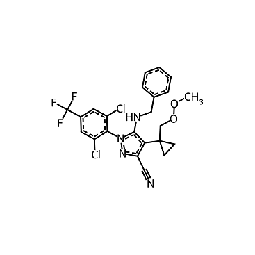 COOCC1(c2c(C#N)nn(-c3c(Cl)cc(C(F)(F)F)cc3Cl)c2NCc2ccccc2)CC1